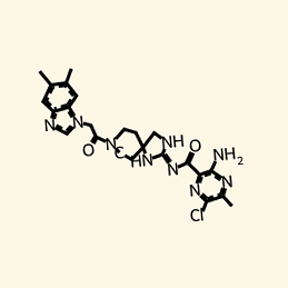 Cc1cc2ncn(CC(=O)N3CCC4(CC3)CN/C(=N\C(=O)c3nc(Cl)c(C)nc3N)N4)c2cc1C